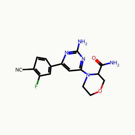 N#Cc1ccc(-c2cc(N3CCOCC3C(N)=O)nc(N)n2)cc1F